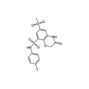 CS(=O)(=O)c1cc2c(c(S(=O)(=O)Nc3ccc(F)cc3)c1)OCC(=O)N2